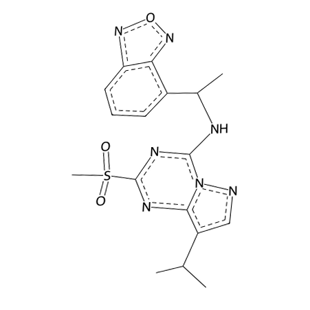 CC(C)c1cnn2c(NC(C)c3cccc4nonc34)nc(S(C)(=O)=O)nc12